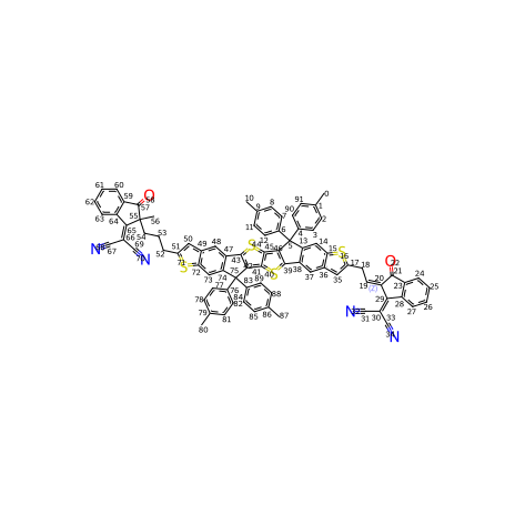 Cc1ccc(C2(c3ccc(C)cc3)c3cc4sc(C/C=C5\C(=O)c6ccccc6C5=C(C#N)C#N)cc4cc3-c3sc4c5c(sc4c32)-c2cc3cc(CCCC4(C)C(=O)c6ccccc6C4=C(C#N)C#N)sc3cc2C5(c2ccc(C)cc2)c2ccc(C)cc2)cc1